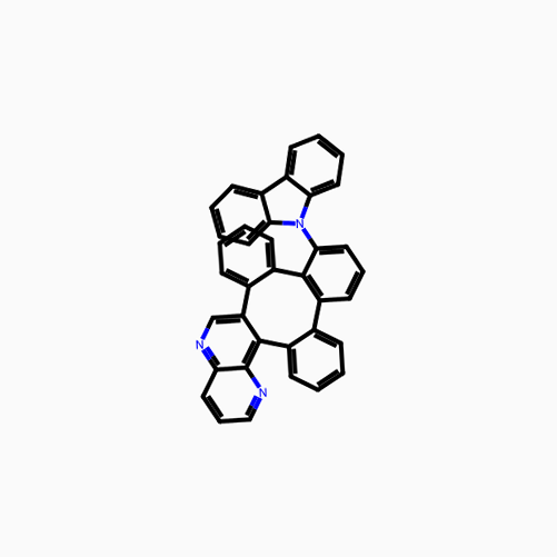 c1ccc2c(c1)-c1cnc3cccnc3c1-c1ccccc1-c1cccc(-n3c4ccccc4c4ccccc43)c1-2